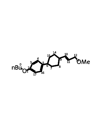 CCCCOc1ccc(C2CCC(C=CCOC)CC2)cc1